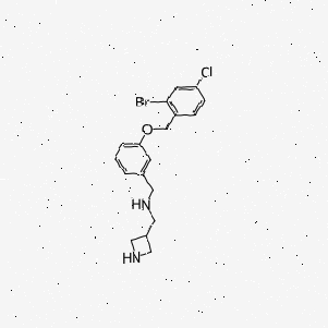 Clc1ccc(COc2cccc(CNCC3CNC3)c2)c(Br)c1